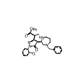 CC(C(=O)O)C1=NN(c2ccccc2Cl)C(=O)C1=C1CN(Cc2ccccc2)CCCN1